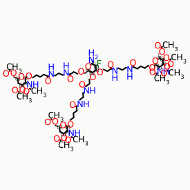 CC(=O)N[C@H]1[C@H](OCCCCC(=O)NCCCNC(=O)CCO[C@@H]2[C@@H](F)[C@H](N)O[C@H](COCCC(=O)NCCCNC(=O)CCCCO[C@@H]3O[C@H](COC(C)=O)C[C@H](OC(C)=O)[C@H]3NC(C)=O)[C@H]2OCCC(=O)NCCCNC(=O)CCCCO[C@@H]2O[C@H](COC(C)=O)C[C@H](OC(C)=O)[C@H]2NC(C)=O)O[C@H](COC(C)=O)[C@H](OC(C)=O)[C@@H]1OC(C)=O